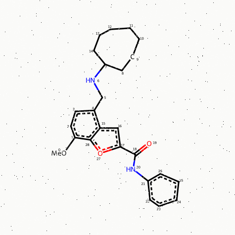 COc1ccc(CNC2CCCCCCC2)c2cc(C(=O)Nc3ccccc3)oc12